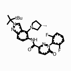 C[C@H]1CCN(c2c(NC(=O)c3ccc(=O)n(-c4c(F)cccc4F)n3)ccc3nn(C(C)(C)C(C)(C)C)cc23)C1